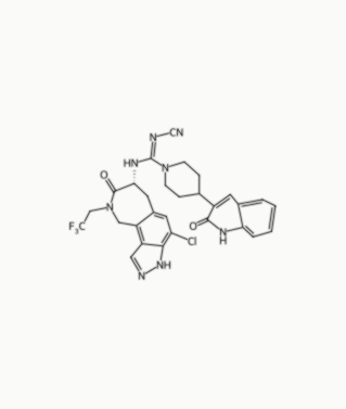 N#C/N=C(/N[C@@H]1Cc2cc(Cl)c3[nH]ncc3c2CN(CC(F)(F)F)C1=O)N1CCC(c2cc3ccccc3[nH]c2=O)CC1